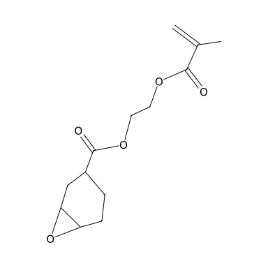 C=C(C)C(=O)OCCOC(=O)C1CCC2OC2C1